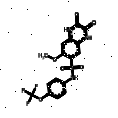 COc1cc2[nH]c(=O)c(=O)[nH]c2cc1S(=O)(=O)Nc1ccc(OC(F)(F)F)cc1